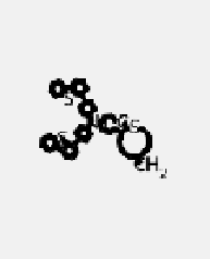 C=C1/C=C\CCCSC(=C)/C([C@@H]2C=CC(N(c3ccc(-c4cccc5c4sc4ccccc45)cc3)c3ccc(-c4cccc5c4sc4ccccc45)cc3)=CCC2)=C\C=C/C1